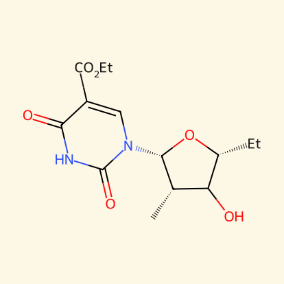 CCOC(=O)c1cn([C@@H]2O[C@H](CC)C(O)[C@@H]2C)c(=O)[nH]c1=O